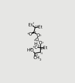 CCC(CC)C(=O)OOOC(C)(CC)CC(C)O